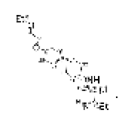 CCOCCOc1ccc([C@H]2CC[C@@H](Nc3ccnc(CC)c3Cl)CC2)cc1